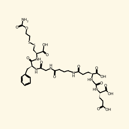 NC(=O)OCCSSC[C@H](NC(=O)[C@H](Cc1ccccc1)NC(=O)CNC(=O)CCCNC(=O)CC[C@H](NC(=O)N[C@@H](CCC(=O)O)C(=O)O)C(=O)O)C(=O)O